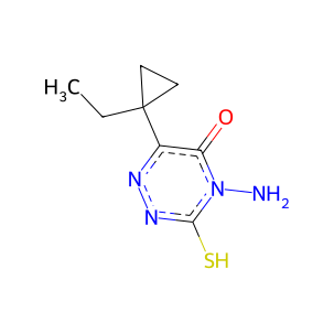 CCC1(c2nnc(S)n(N)c2=O)CC1